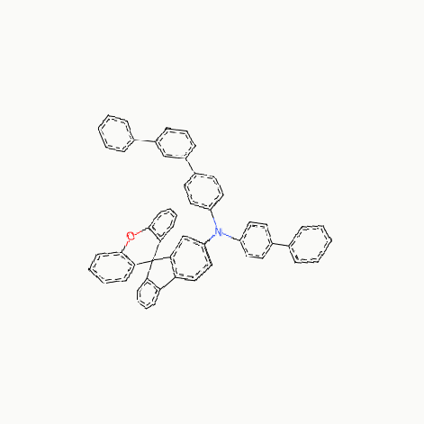 c1ccc(-c2ccc(N(c3ccc(-c4cccc(-c5ccccc5)c4)cc3)c3ccc4c(c3)C3(c5ccccc5Oc5ccccc53)c3ccccc3-4)cc2)cc1